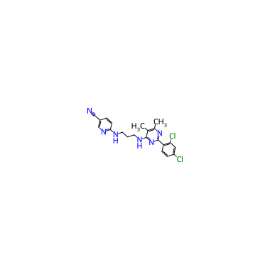 Cc1nc(-c2ccc(Cl)cc2Cl)nc(NCCCNc2ccc(C#N)cn2)c1C